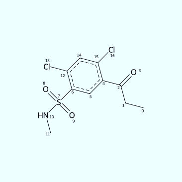 CCC(=O)c1cc(S(=O)(=O)NC)c(Cl)cc1Cl